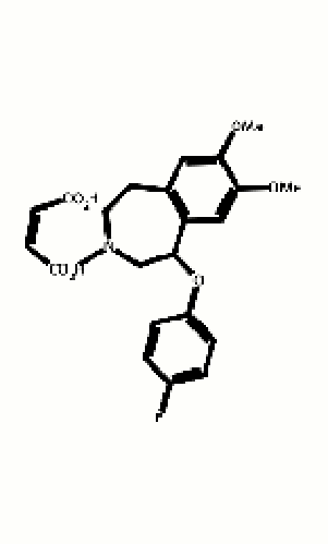 COc1cc2c(cc1OC)C(Oc1ccc(F)cc1)CN(C)CC2.O=C(O)/C=C\C(=O)O